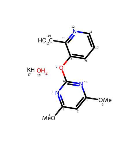 COc1cc(OC)nc(Oc2cccnc2C(=O)O)n1.O.[KH]